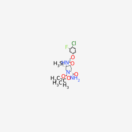 CC(C)(C)OC(=O)N1C[C@@](C[SiH3])(NC(=O)COc2ccc(Cl)c(F)c2)CC[C@@H]1C(N)=O